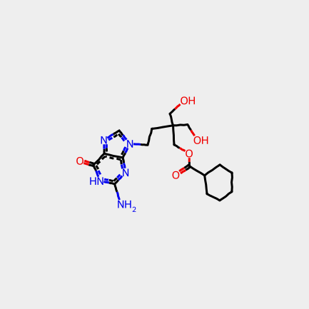 Nc1nc2c(ncn2CCC(CO)(CO)COC(=O)C2CCCCC2)c(=O)[nH]1